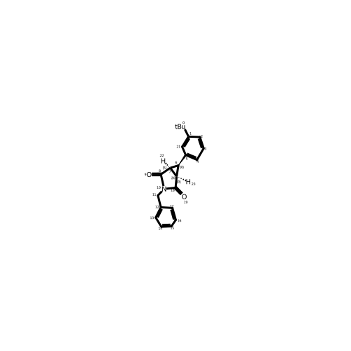 CC(C)(C)c1cccc([C@@H]2[C@@H]3C(=O)N(Cc4ccccc4)C(=O)[C@@H]32)c1